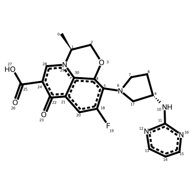 C[C@H]1COc2c(N3CC[C@H](Nc4ncccn4)C3)c(F)cc3c(=O)c(C(=O)O)cn1c23